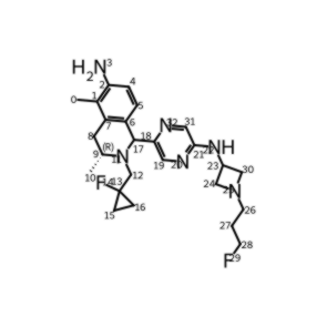 Cc1c(N)ccc2c1C[C@@H](C)N(CC1(F)CC1)C2c1cnc(NC2CN(CCCF)C2)cn1